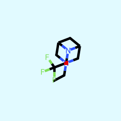 CCN1CC2CC(C1)N2CC(F)(F)F